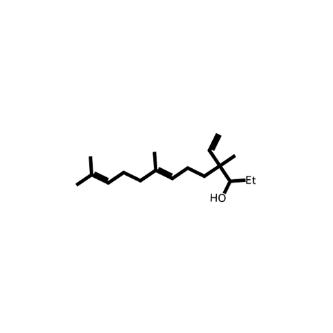 C=CC(C)(CC/C=C(\C)CCC=C(C)C)C(O)CC